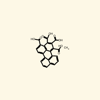 C.O=C(O)c1c(C(=O)O)c2c(C(=O)O)ccc3c4cccc5cccc(c(c1C(=O)O)c23)c54